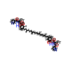 CC1=C(/C=C/C(C)=C/C=C/C(C)=C/C=C/C=C(C)/C=C/C=C(C)/C=C/C2=C(C)C(=O)[C@@H](OC(=O)C(NC(=O)c3cccnc3)C(C)C)CC2(C)C)C(C)(C)C[C@H](OC(=O)C(NC(=O)c2cccnc2)C(C)C)C1=O